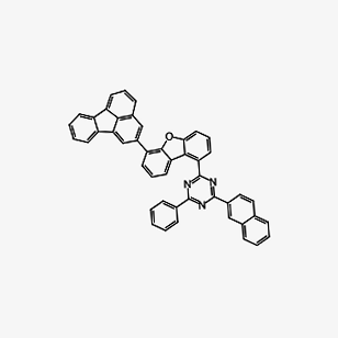 c1ccc(-c2nc(-c3ccc4ccccc4c3)nc(-c3cccc4oc5c(-c6cc7c8c(cccc8c6)-c6ccccc6-7)cccc5c34)n2)cc1